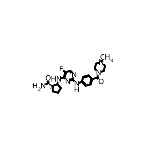 CN1CCN(C(=O)c2ccc(Nc3ncc(F)c(N[C@H]4CCC[C@H]4C(N)=O)n3)cc2)CC1